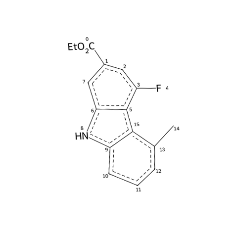 CCOC(=O)c1cc(F)c2c(c1)[nH]c1cccc(C)c12